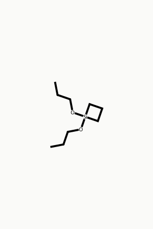 CCCO[Si]1(OCCC)CCC1